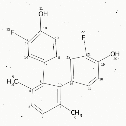 Cc1ccc(C)c(-c2ccc(O)c(F)c2)c1-c1ccc(O)c(F)c1